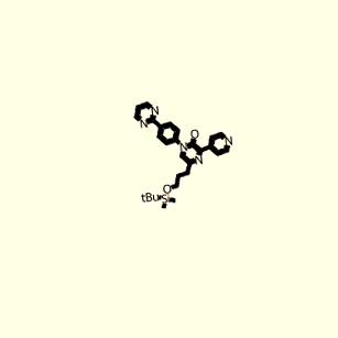 CC(C)(C)[Si](C)(C)OCCCc1cn(-c2ccc(-c3ncccn3)cc2)c(=O)c(-c2ccncc2)n1